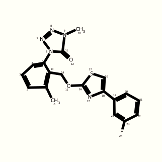 Cc1cccc(-n2nnn(C)c2=O)c1COc1nc(-c2cccc(F)c2)cs1